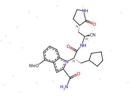 COc1cccc2c1cc(C(N)=O)n2[C@@H](CC1CCCC1)C(=O)N[C@H](C#N)C[C@@H]1CCNC1=O